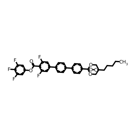 CCCCCC12COC(c3ccc(-c4ccc(-c5cc(F)c(C(=O)Oc6cc(F)c(F)c(F)c6)c(F)c5)cc4)cc3)(OC1)OC2